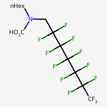 CCCCCCN(CC(F)(F)C(F)(F)C(F)(F)C(F)(F)C(F)(F)C(F)(F)F)C(=O)O